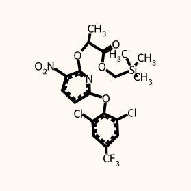 CC(Oc1nc(Oc2c(Cl)cc(C(F)(F)F)cc2Cl)ccc1[N+](=O)[O-])C(=O)OC[Si](C)(C)C